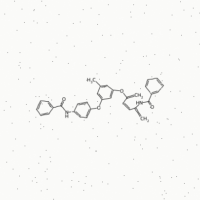 C=C(/C=C\C(=C)Oc1cc(C)cc(Oc2ccc(NC(=O)c3ccccc3)cc2)c1)NC(=O)c1ccccc1